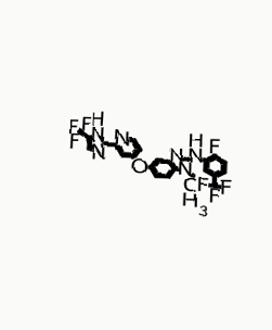 CCn1c(Nc2cc(C(F)(F)F)ccc2F)nc2cc(Oc3ccnc(-c4ncc(C(F)(F)F)[nH]4)c3)ccc21